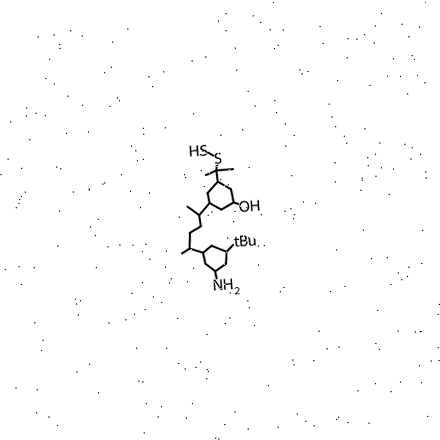 CC(CCC(C)C1CC(O)CC(C(C)(C)SS)C1)C1CC(N)CC(C(C)(C)C)C1